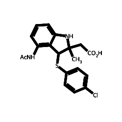 CC(=O)Nc1cccc2c1C(Sc1ccc(Cl)cc1)C(C)(CC(=O)O)N2